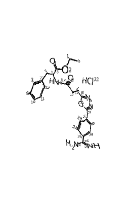 CCOC(=O)[C@H](Cc1ccccc1)NC(=O)CSc1nnc(-c2ccc(C(=N)N)cc2)o1.Cl